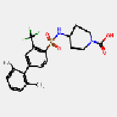 Cc1cccc(C)c1-c1ccc(S(=O)(=O)NC2CCN(C(=O)O)CC2)c(C(F)(F)F)c1